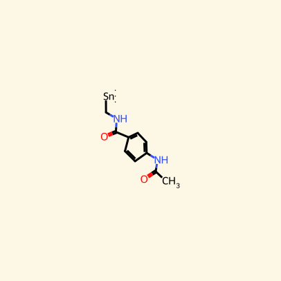 CC(=O)Nc1ccc(C(=O)N[CH2][Sn])cc1